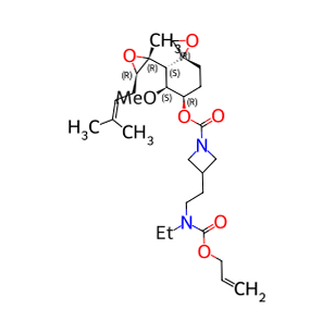 C=CCOC(=O)N(CC)CCC1CN(C(=O)O[C@@H]2CC[C@]3(CO3)[C@@H]([C@@]3(C)O[C@@H]3CC=C(C)C)[C@@H]2OC)C1